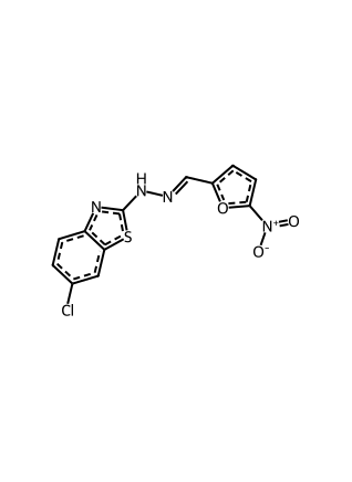 O=[N+]([O-])c1ccc(C=NNc2nc3ccc(Cl)cc3s2)o1